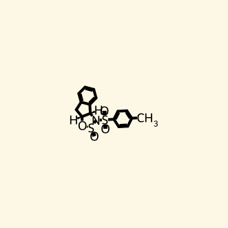 Cc1ccc(S(=O)(=O)N2[C@H]3c4ccccc4C[C@H]3O[S@@]2=O)cc1